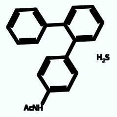 CC(=O)Nc1ccc(-c2ccccc2-c2ccccc2)cc1.S